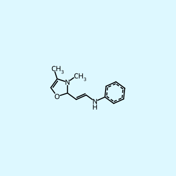 CC1=COC(C=CNc2ccccc2)N1C